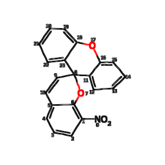 O=[N+]([O-])c1cccc2c1OC1(C=C2)c2ccccc2Oc2ccccc21